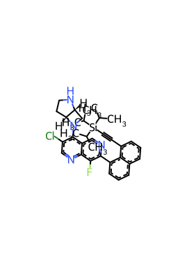 CC(C)[Si](C#Cc1cccc2cccc(-c3ncc4c(N5C[C@H]6NCC[C@H]65)c(Cl)cnc4c3F)c12)(C(C)C)C(C)C